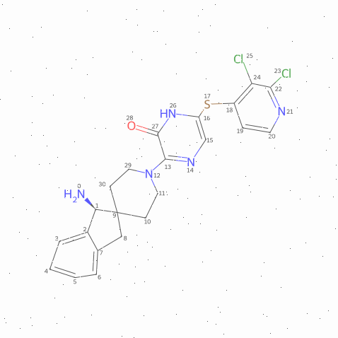 N[C@@H]1c2ccccc2CC12CCN(c1ncc(Sc3ccnc(Cl)c3Cl)[nH]c1=O)CC2